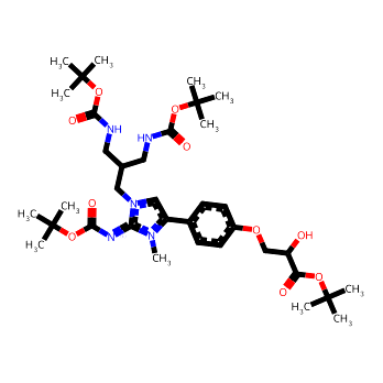 Cn1c(-c2ccc(OCC(O)C(=O)OC(C)(C)C)cc2)cn(CC(CNC(=O)OC(C)(C)C)CNC(=O)OC(C)(C)C)/c1=N\C(=O)OC(C)(C)C